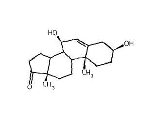 C[C@]12CC[C@H](O)CC1=C[C@H](O)C1C2CC[C@]2(C)C(=O)CCC12